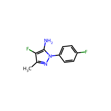 Cc1nn(-c2ccc(F)cc2)c(N)c1F